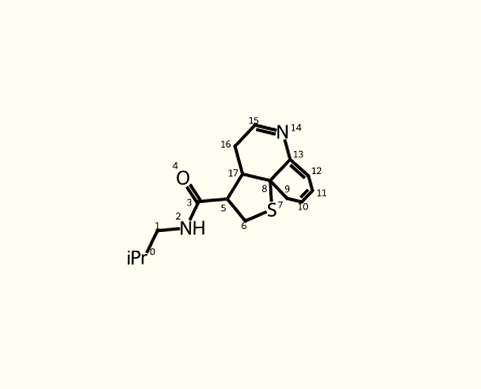 CC(C)CNC(=O)C1CSC23CC=CC=C2N=CCC13